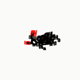 CC(C)(C)C(C)(C)C(C)(C)c1ccc(O)c(CO)c1